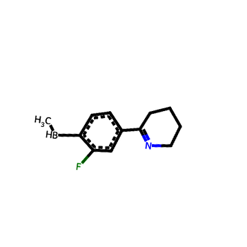 CBc1ccc(C2=NCCCC2)cc1F